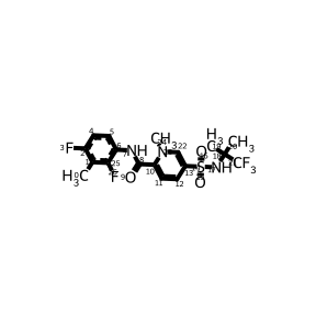 Cc1c(F)ccc(NC(=O)C2=C=CC(S(=O)(=O)NC(C)(C)C(F)(F)F)=CN2C)c1F